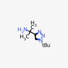 CC(C)(N)c1cn(C(C)(C)C)nn1